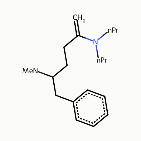 C=C(CCC(Cc1ccccc1)NC)N(CCC)CCC